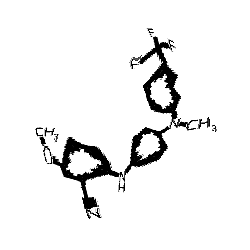 COc1ccc(Nc2ccc(N(C)c3ccc(C(F)(F)F)cc3)cc2)c(C#N)c1